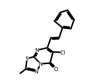 Cc1nn2c(=O)c(Cl)c(/C=C/c3ccccc3)nc2s1